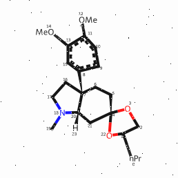 CCCC1CO[C@]2(CC[C@@]3(c4ccc(OC)c(OC)c4)CCN(C)[C@H]3C2)O1